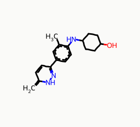 C=C1C=CC(c2ccc(NC3CCC(O)CC3)c(C)c2)=NN1